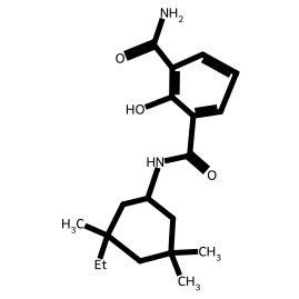 CCC1(C)CC(NC(=O)c2cccc(C(N)=O)c2O)CC(C)(C)C1